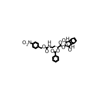 O=C(NCC[C@@H](OC(=O)c1ccccc1)C(=O)ON1C(=O)[C@@H]2C3C=CC(C3)[C@@H]2C1=O)OCc1ccc([N+](=O)[O-])cc1